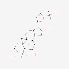 CC(C)(O)[C@@H]1CC[C@](C)([C@H]2[C@@H](O)C[C@@]3(C)[C@@H]4C[C@H](O)[C@H]5C(C)(C)[C@@H](O)CC[C@@]56CC46CC[C@]23C)O1